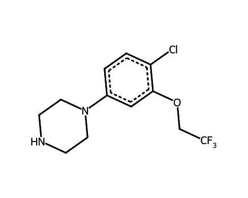 FC(F)(F)COc1cc(N2CCNCC2)ccc1Cl